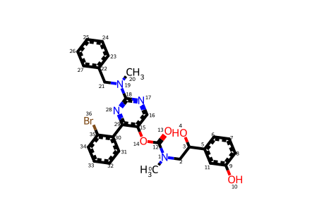 CN(CC(O)c1cccc(O)c1)C(=O)Oc1cnc(N(C)Cc2ccccc2)nc1-c1ccccc1Br